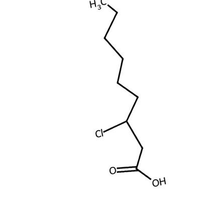 CCCCCCC(Cl)CC(=O)O